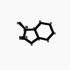 C[C@@H]1NCC2CCCCC21